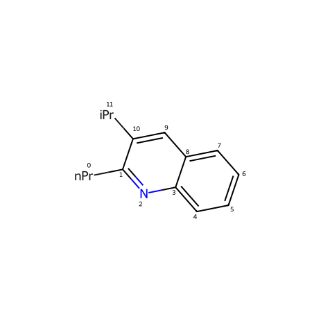 CCCc1nc2ccccc2cc1C(C)C